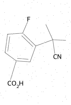 CC(C)(C#N)c1cc(C(=O)O)ccc1F